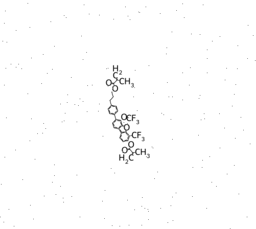 C=C(C)C(=O)OCCCc1ccc(-c2ccc3c(oc4c(C(F)(F)F)c(OC(=O)C(=C)C)ccc43)c2OC(F)(F)F)cc1